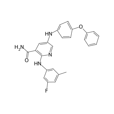 Cc1cc(F)cc(Nc2ncc(Nc3ccc(Oc4ccccc4)cc3)cc2C(N)=O)c1